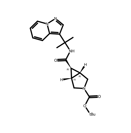 CC(C)(C)OC(=O)N1C[C@@H]2[C@H](C1)[C@H]2C(=O)NC(C)(C)c1cnn2ccccc12